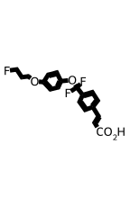 O=C(O)/C=C/c1ccc(C(F)(F)Oc2ccc(OCCCF)cc2)cc1